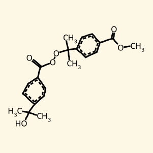 COC(=O)c1ccc(C(C)(C)OOC(=O)c2ccc(C(C)(C)O)cc2)cc1